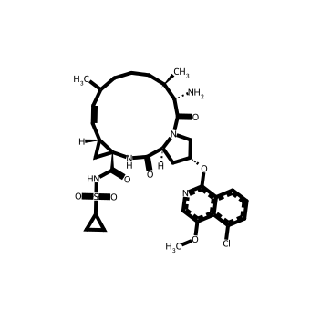 COc1cnc(O[C@@H]2C[C@H]3C(=O)N[C@]4(C(=O)NS(=O)(=O)C5CC5)C[C@@H]4/C=C\C(C)CCC[C@@H](C)[C@H](N)C(=O)N3C2)c2cccc(Cl)c12